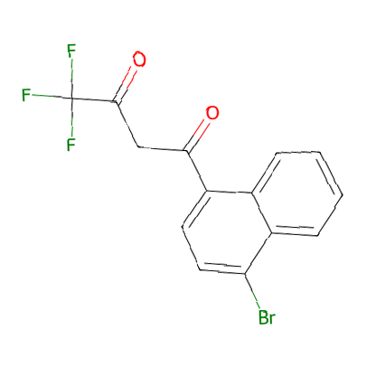 O=C(CC(=O)C(F)(F)F)c1ccc(Br)c2ccccc12